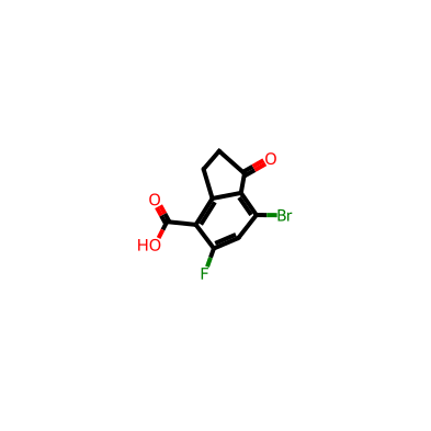 O=C(O)c1c(F)cc(Br)c2c1CCC2=O